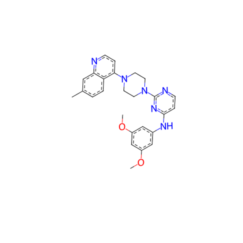 COc1cc(Nc2ccnc(N3CCN(c4ccnc5cc(C)ccc45)CC3)n2)cc(OC)c1